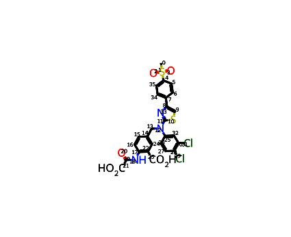 CS(=O)(=O)c1ccc(-c2csc(N(Cc3ccc(NC(=O)C(=O)O)c(C(=O)O)c3)c3ccc(Cl)c(Cl)c3)n2)cc1